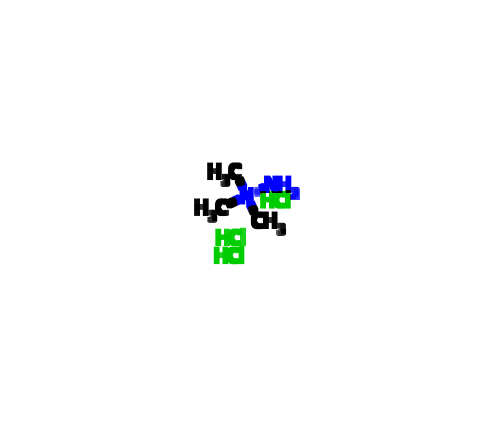 C[N+](C)(C)N.Cl.Cl.Cl